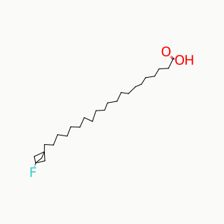 O=C(O)CCCCCCCCCCCCCCCCCCCCC12CC(F)(C1)C2